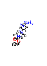 C[C@@H]1CN(c2ccc(N)nc2)[C@@H](C)CN1C(=O)OC(C)(C)C